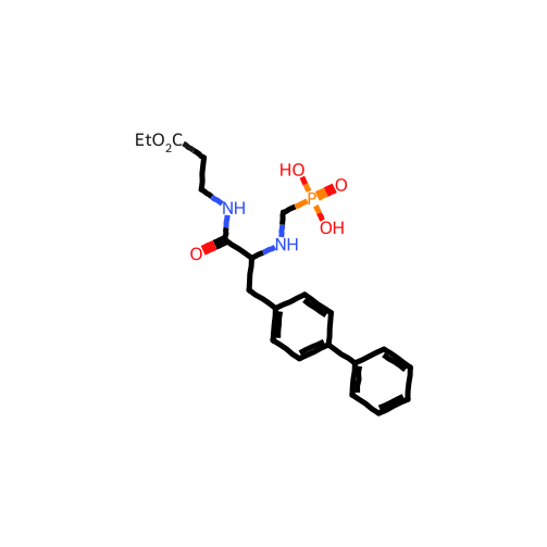 CCOC(=O)CCNC(=O)C(Cc1ccc(-c2ccccc2)cc1)NCP(=O)(O)O